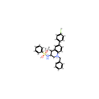 O=S(=O)(NC1CN(Cc2ccccc2)c2ccc(-c3ccc(F)cc3)cc2C1C(F)(F)F)c1ccccc1